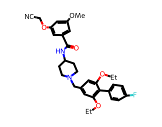 CCOc1cc(CN2CCC(NC(=O)c3cc(OC)cc(OCC#N)c3)CC2)cc(OCC)c1-c1ccc(F)cc1